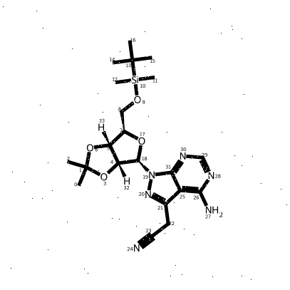 CC1(C)O[C@@H]2[C@H](O1)[C@@H](CO[Si](C)(C)C(C)(C)C)O[C@H]2n1nc(CC#N)c2c(N)ncnc21